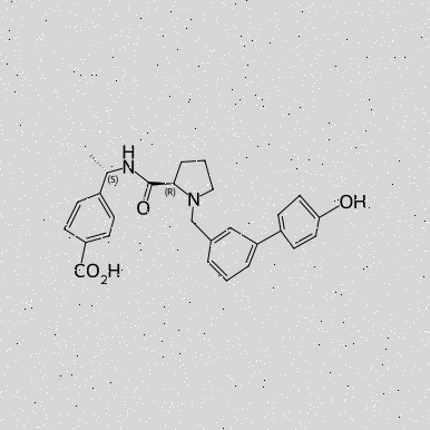 C[C@H](NC(=O)[C@H]1CCCN1Cc1cccc(-c2ccc(O)cc2)c1)c1ccc(C(=O)O)cc1